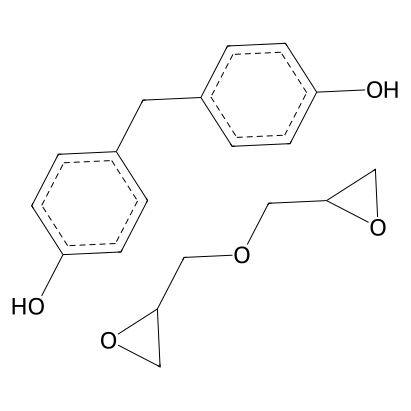 C(OCC1CO1)C1CO1.Oc1ccc(Cc2ccc(O)cc2)cc1